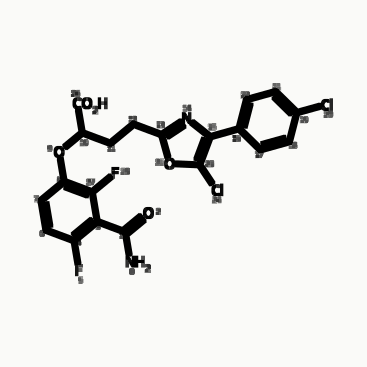 NC(=O)c1c(F)ccc(OC(CCc2nc(-c3ccc(Cl)cc3)c(Cl)o2)C(=O)O)c1F